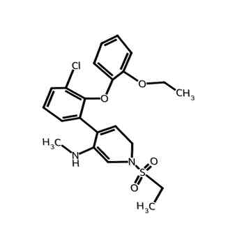 CCOc1ccccc1Oc1c(Cl)cccc1C1=CCN(S(=O)(=O)CC)C=C1NC